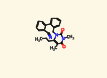 CCCc1c(C)c(=O)n(C)c(=O)n1Cc1ccccc1-c1ccccc1C#N